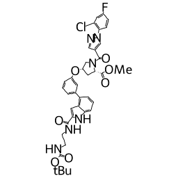 COC(=O)[C@@H]1C[C@H](Oc2cccc(-c3cccc4[nH]c(C(=O)NCCNC(=O)OC(C)(C)C)cc34)c2)CN1C(=O)c1cnn(-c2ccc(F)cc2Cl)c1